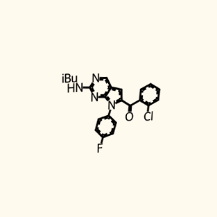 CCC(C)Nc1ncc2cc(C(=O)c3ccccc3Cl)n(-c3ccc(F)cc3)c2n1